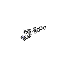 C/N=c1\scc(CN2CCN(C(=O)CCS(=O)(=O)c3ccc4cc(Cl)ccc4c3)C(C(=O)OC(C)(C)C)C2)n1C